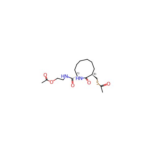 CC(=O)OCCNC(=O)[C@@H]1CCCCCC[C@@H](CSC(C)=O)C(=O)N1